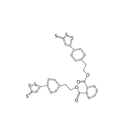 O=C(OCCc1ccc(-c2cc(=S)ss2)cc1)c1ccccc1C(=O)OCCc1ccc(-c2cc(=S)ss2)cc1